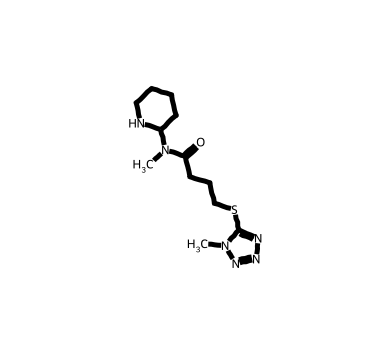 CN(C(=O)CCCSc1nnnn1C)C1CCCCN1